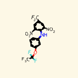 O=[N+]([O-])c1cc(C(F)(F)F)cc([N+](=O)[O-])c1Nc1cccc(OC(F)(F)C(F)(F)F)c1